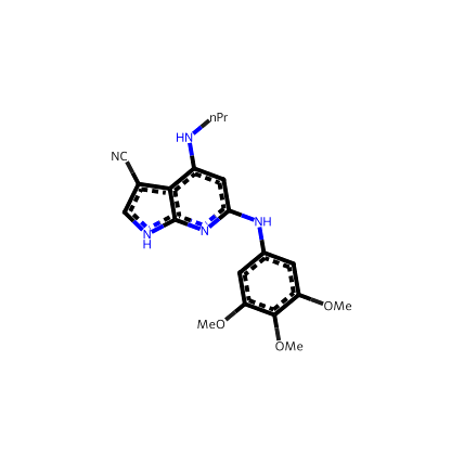 CCCNc1cc(Nc2cc(OC)c(OC)c(OC)c2)nc2[nH]cc(C#N)c12